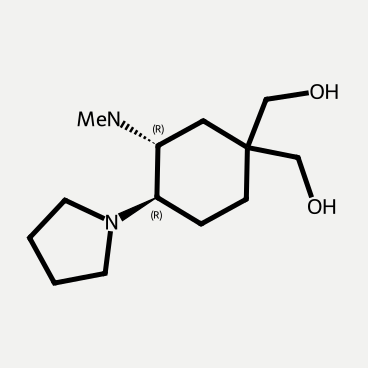 CN[C@@H]1CC(CO)(CO)CC[C@H]1N1CCCC1